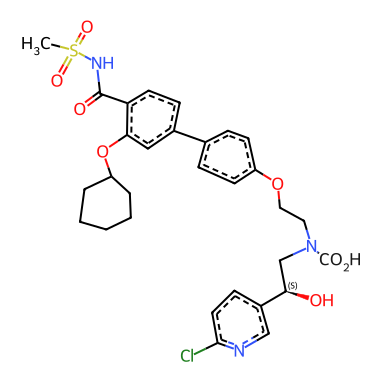 CS(=O)(=O)NC(=O)c1ccc(-c2ccc(OCCN(C[C@@H](O)c3ccc(Cl)nc3)C(=O)O)cc2)cc1OC1CCCCC1